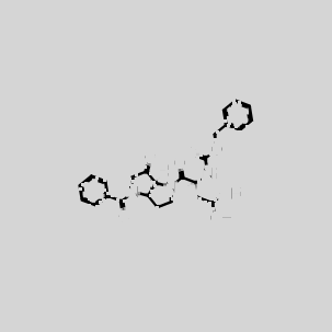 CC(C)C[C@H](NC(=O)OCc1ccccc1)C(=O)N1CCC2[C@H]1C(=O)CN2C(=O)c1ccccc1